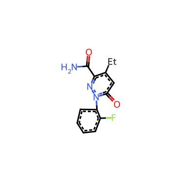 CCc1cc(=O)n(-c2ccccc2F)nc1C(N)=O